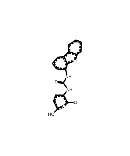 O=C(Nc1ccc(O)cc1Cl)Nc1cccc2c1oc1ccccc12